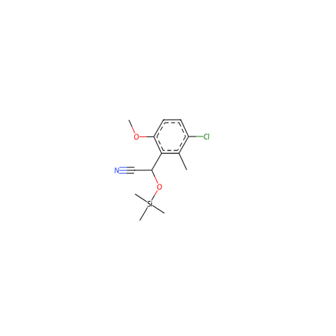 COc1ccc(Cl)c(C)c1C(C#N)O[Si](C)(C)C